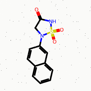 O=C1CN(c2[c]cc3ccccc3c2)S(=O)(=O)N1